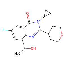 CC(O)c1cc(F)cc2c(=O)n(C3CC3)c(C3CCOCC3)nc12